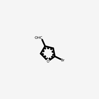 O=[C]c1coc(Br)c1